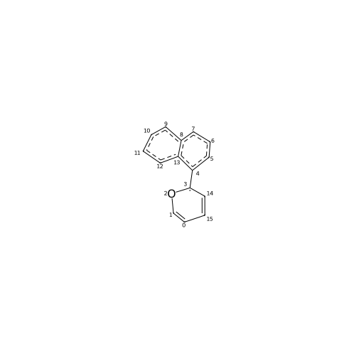 C1=CO[C](c2cccc3ccccc23)C=C1